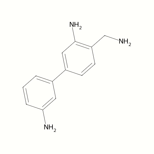 NCc1ccc(-c2cccc(N)c2)cc1N